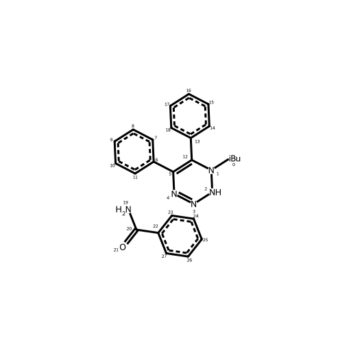 CCC(C)N1NN=NC(c2ccccc2)=C1c1ccccc1.NC(=O)c1ccccc1